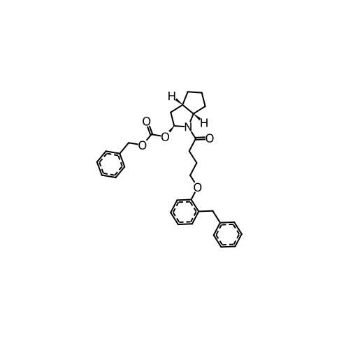 O=C(OCc1ccccc1)O[C@H]1C[C@@H]2CCC[C@@H]2N1C(=O)CCCOc1ccccc1Cc1ccccc1